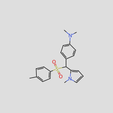 Cc1ccc(S(=O)(=O)C(c2ccc(N(C)C)cc2)c2cccn2C)cc1